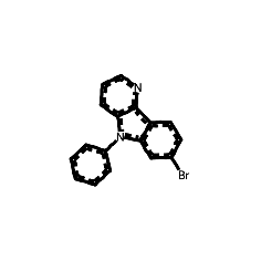 Brc1ccc2c3ncccc3n(-c3ccccc3)c2c1